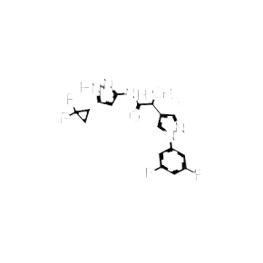 CC(C(=O)Nc1cc([C@@H]2CC2(F)F)[nH]n1)c1cnn(-c2cc(F)cc(F)c2)c1